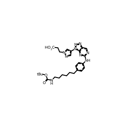 CC(C)(C)OC(=O)NCCCCCCc1ccc(Nc2ncc3nnn(-c4cnn(CCC(=O)O)c4)c3n2)cc1